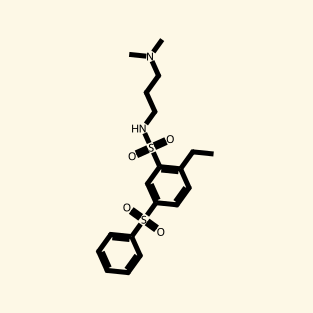 CCc1ccc(S(=O)(=O)c2ccccc2)cc1S(=O)(=O)NCCCN(C)C